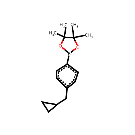 CC1(C)OB(c2ccc(CC3CC3)cc2)OC1(C)C